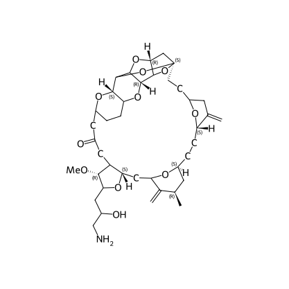 C=C1C2C[C@@H]3OC(CC(O)CN)[C@H](OC)C3CC(=O)CC3CCC4O[C@@H]5C6O[C@@H]7C[C@](CCC8CC(=C)[C@H](CC[C@@H](C[C@H]1C)O2)O8)(OC6[C@H]4O3)OC57